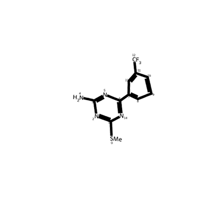 CSc1nc(N)nc(-c2cccc(C(F)(F)F)c2)n1